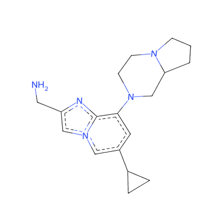 NCc1cn2cc(C3CC3)cc(N3CCN4CCCC4C3)c2n1